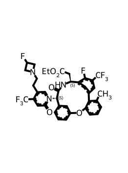 CCOC(=O)C[C@@H]1NC(=O)[C@@H](n2cc(CCN3CC(F)C3)c(C(F)(F)F)cc2=O)c2cccc(c2)Oc2cccc(C)c2-c2cc1c(F)c(C(F)(F)F)c2